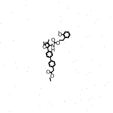 CCOC(=O)Cc1ccc(-c2ccc(-c3onc(C)c3NC(=O)OCCc3ccccc3OC)cc2)cc1